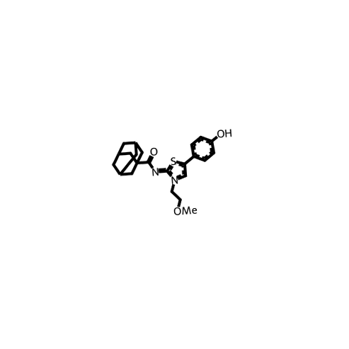 COCCn1cc(-c2ccc(O)cc2)s/c1=N\C(=O)C12CC3CC(CC(C3)C1)C2